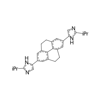 CC(C)c1ncc(-c2cc3c4c(c2)CCc2cc(-c5cnc(C(C)C)[nH]5)cc(c2-4)CC3)[nH]1